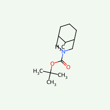 CC1C2CCCC1CN(C(=O)OC(C)(C)C)C2